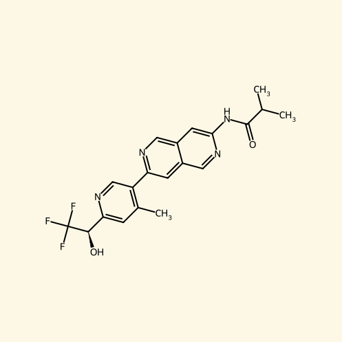 Cc1cc([C@@H](O)C(F)(F)F)ncc1-c1cc2cnc(NC(=O)C(C)C)cc2cn1